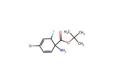 CC(C)(C)OC(=O)C1(N)C=CC(Br)=CC1F